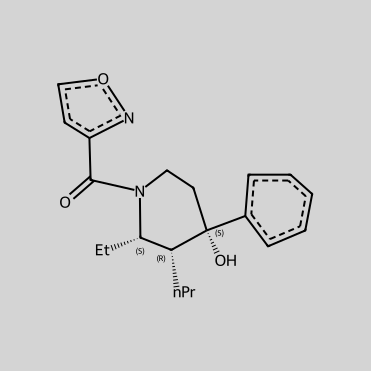 CCC[C@@H]1[C@H](CC)N(C(=O)c2ccon2)CC[C@@]1(O)c1ccccc1